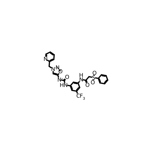 O=C(CS(=O)(=O)c1ccccc1)Nc1cc(NC(=O)[N-]c2c[n+](Cc3ccccn3)no2)cc(C(F)(F)F)c1